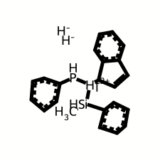 C[SiH](c1ccccc1)[Hf+2]([PH]c1ccccc1)[CH]1C=Cc2ccccc21.[H-].[H-]